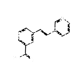 O=C(O)c1cccc(/C=C/c2cccnc2)c1